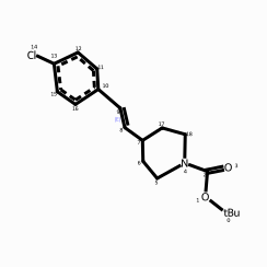 CC(C)(C)OC(=O)N1CCC(/C=C/c2ccc(Cl)cc2)CC1